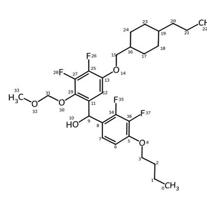 CCCCOc1ccc(C(O)c2cc(OCC3CCC(CCC)CC3)c(F)c(F)c2OCOC)c(F)c1F